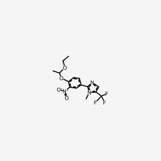 CCOC(C)Oc1ccc(-c2ncc(C(F)(F)F)n2C)cc1[N+](=O)[O-]